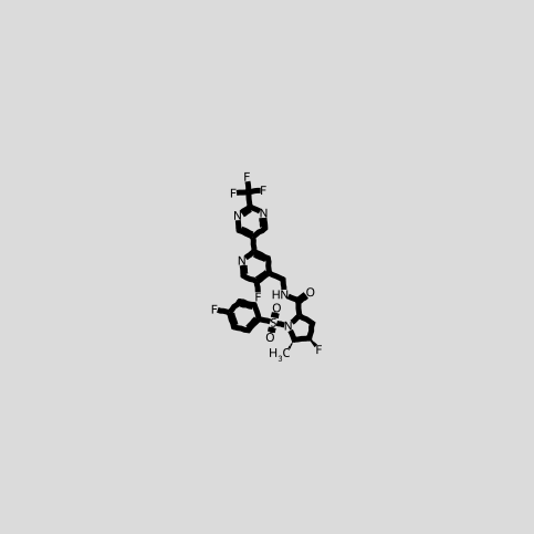 C[C@H]1[C@H](F)CC(C(=O)NCc2cc(-c3cnc(C(F)(F)F)nc3)ncc2F)N1S(=O)(=O)c1ccc(F)cc1